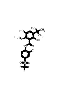 COc1c(O)cc(C(C)(C)C)c(O)c1C(=O)Nc1ccc(S(=O)(=O)C(F)(F)F)cc1Cl